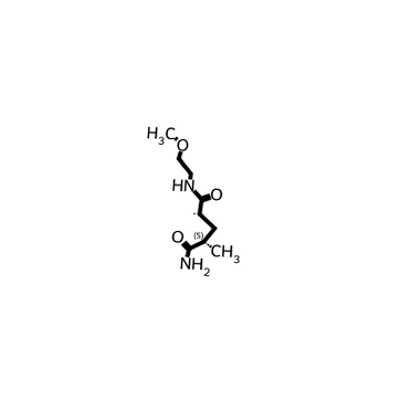 COCCNC(=O)[CH]C[C@H](C)C(N)=O